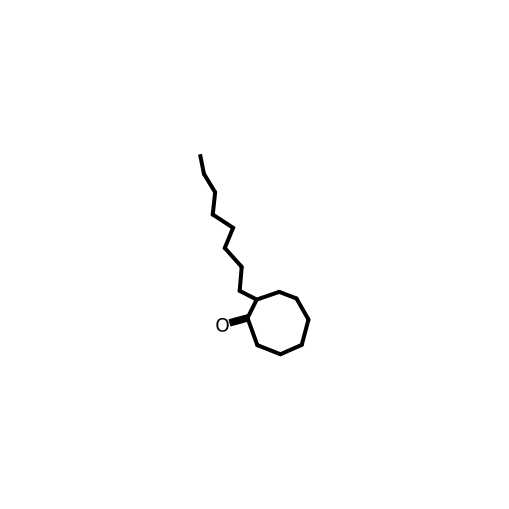 CCCCCCCCC1CCCCCCC1=O